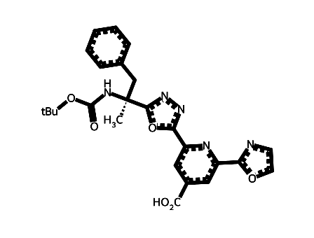 CC(C)(C)OC(=O)N[C@@](C)(Cc1ccccc1)c1nnc(-c2cc(C(=O)O)cc(-c3ncco3)n2)o1